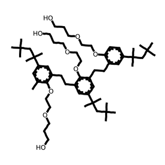 Cc1cc(C(C)(C)CC(C)(C)C)cc(CCc2cc(C(C)(C)CC(C)(C)C)cc(CCc3cc(C(C)(C)CC(C)(C)C)ccc3OCCOCCCO)c2OCCOCCCO)c1OCCOCCCO